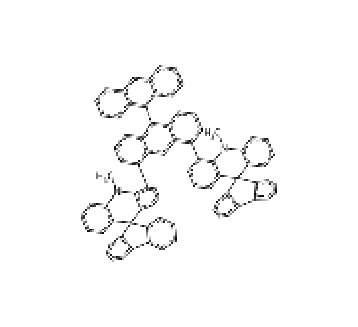 CN1c2ccccc2C2(c3ccccc3-c3ccccc32)c2cccc(-c3cccc4c(-c5c6ccccc6cc6ccccc56)c5cccc(-c6cccc7c6N(C)c6ccccc6C76c7ccccc7-c7ccccc76)c5cc34)c21